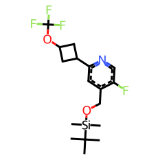 CC(C)(C)[Si](C)(C)OCc1cc(C2CC(OC(F)(F)F)C2)ncc1F